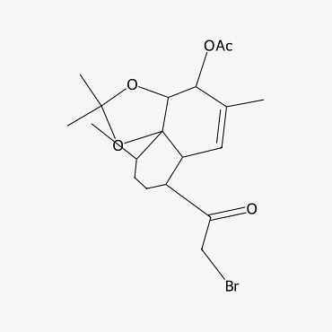 CC(=O)OC1C(C)=CC2C(C(=O)CBr)CCC(C)C23OC(C)(C)OC13